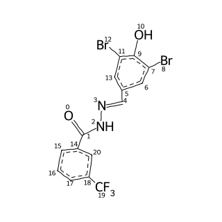 O=C(NN=Cc1cc(Br)c(O)c(Br)c1)c1cccc(C(F)(F)F)c1